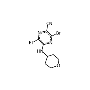 CCc1nc(C#N)c(Br)nc1NC1CCOCC1